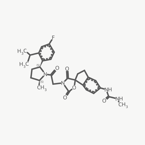 CNC(=O)Nc1ccc2c(c1)CCC21OC(=O)N(CC(=O)N2[C@@H](C)CC[C@H]2c2ccc(F)cc2C(C)C)C1=O